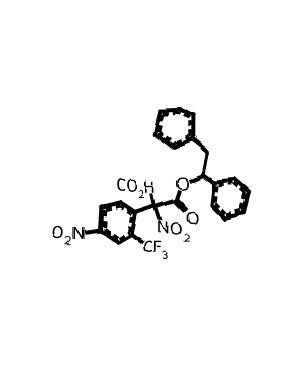 O=C(O)C(C(=O)OC(Cc1ccccc1)c1ccccc1)(c1ccc([N+](=O)[O-])cc1C(F)(F)F)[N+](=O)[O-]